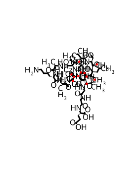 CC(C)C[C@H](NC(=O)[C@H](CC(=O)O)NC(=O)CNC(=O)[C@H](C)NC(=O)[C@H](CCCCN)NC(=O)[C@H](C)N)C(=O)N[C@H](C(=O)N[C@H](C(=O)N[C@H](C(=O)N[C@@H](CO)C(=O)N[C@@H](CC(C)C)C(=O)N1CCC[C@H]1C(=O)NCC(=O)NCC(=O)N[C@@H](CCC(=O)O)C(=O)O)C(C)C)[C@@H](C)O)C(C)C